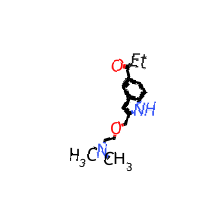 CCC(=O)c1ccc2[nH]c(COCCN(C)C)cc2c1